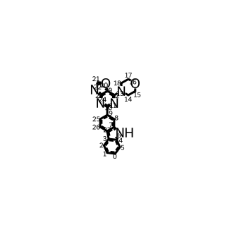 c1ccc2c(c1)[nH]c1cc(-c3nc(N4CCOCC4)c4ocnc4n3)ccc12